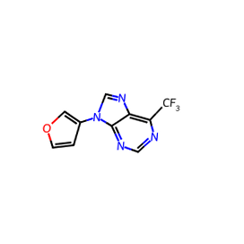 FC(F)(F)c1ncnc2c1ncn2-c1ccoc1